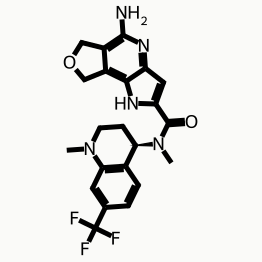 CN1CC[C@@H](N(C)C(=O)c2cc3nc(N)c4c(c3[nH]2)COC4)c2ccc(C(F)(F)F)cc21